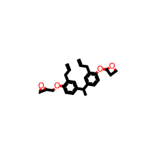 C=CCc1cc(C(C)c2ccc(OC3CCO3)c(CC=C)c2)ccc1OCC1CO1